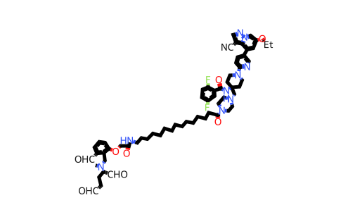 CCOc1cc(-c2ccc(N3CCC(CN4CCN(C(=O)CCCCCCCCCCCCCCNC(=O)COc5cccc(C=O)c5CN(C)C(C=O)CCC=O)CC4)(NC(=O)c4cc(F)ccc4F)CC3)nc2)c2c(C#N)cnn2c1